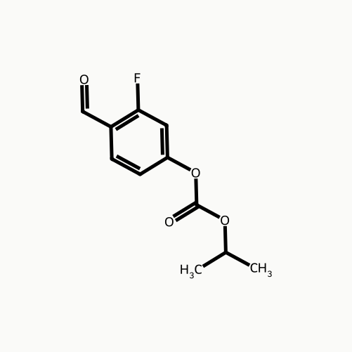 CC(C)OC(=O)Oc1ccc(C=O)c(F)c1